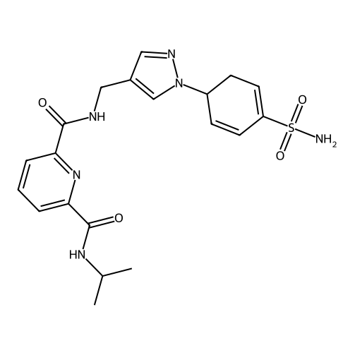 CC(C)NC(=O)c1cccc(C(=O)NCc2cnn(C3C=CC(S(N)(=O)=O)=CC3)c2)n1